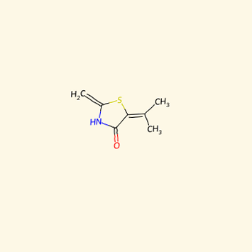 C=c1[nH]c(=O)c(=C(C)C)s1